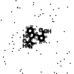 CC1=NNC(=O)/C1=C1/C=C(Sc2ccccc2C(=O)O)c2ccccc2N1